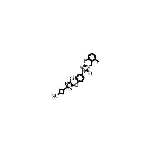 Cc1nc(C2CC(C#N)C2)sc1Oc1ccc(-n2ncn(Cc3c(F)cccc3F)c2=O)cc1